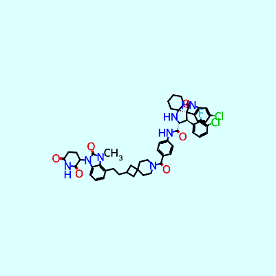 Cn1c(=O)n(C2CCC(=O)NC2=O)c2cccc(CCC3CC4(CCN(C(=O)c5ccc(NC(=O)[C@@H]6NC7(CCCCC7)[C@@]7(C(=O)Nc8cc(Cl)ccc87)[C@H]6c6cccc(Cl)c6F)cc5)CC4)C3)c21